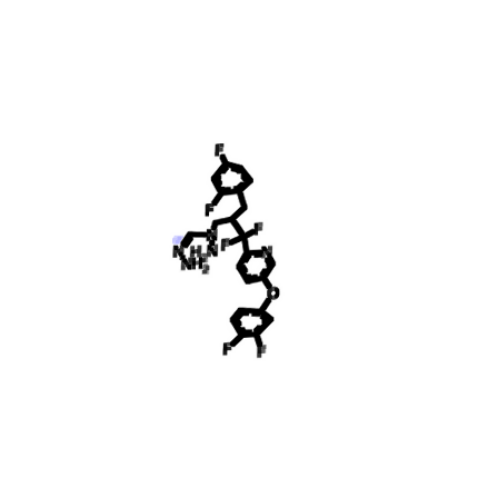 N/N=C\N(N)CC(Cc1ccc(F)cc1F)C(F)(F)c1ccc(Oc2ccc(F)c(F)c2)cn1